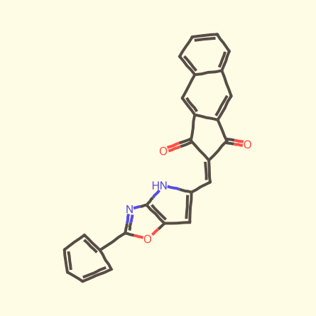 O=C1C(=Cc2cc3oc(-c4ccccc4)nc3[nH]2)C(=O)c2cc3ccccc3cc21